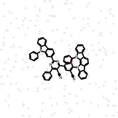 N#Cc1cc(-c2nc(-c3ccc4c5ccccc5n(-c5ccccc5)c4c3)nc(-c3ccccc3)c2C#N)ccc1-n1c2ccccc2c2ccc3c4ccccc4n(-c4ccccc4)c3c21